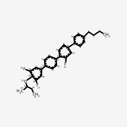 CCCCc1ccc(-c2ccc(-c3ccc(-c4cc(F)c(OC(C)CC)c(F)c4)cc3)c(F)c2)cc1